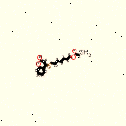 C=CC(=O)OCCCCCCCSc1cc(=O)oc2ccccc12